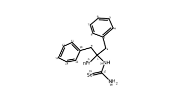 CCCC(Cc1ccccc1)(Cc1ccccc1)NC(N)=[Se]